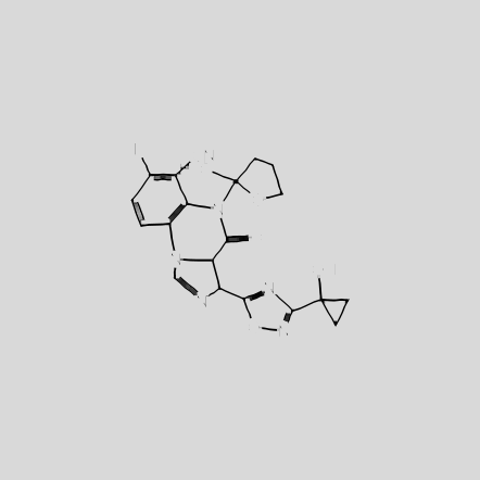 CC1(N2C(=O)C3C(c4nc(C5(O)CC5)no4)N=CN3c3ccc(F)c(C#N)c32)CCCO1